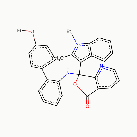 CCOc1ccc(-c2ccccc2NC2(c3c(C)n(CC)c4ccccc34)OC(=O)c3cccnc32)cc1